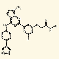 CC(C)NC(=O)COc1cc(F)cc(-c2nc(Nc3ccc(-c4cn[nH]c4)cc3)c3ncn(C)c3n2)c1